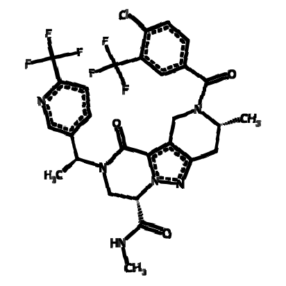 CNC(=O)[C@@H]1CN([C@@H](C)c2ccc(C(F)(F)F)nc2)C(=O)c2c3c(nn21)C[C@@H](C)N(C(=O)c1ccc(Cl)c(C(F)(F)F)c1)C3